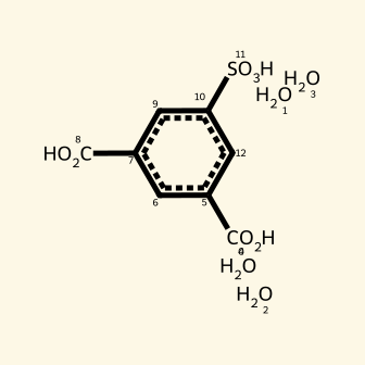 O.O.O.O.O=C(O)c1cc(C(=O)O)cc(S(=O)(=O)O)c1